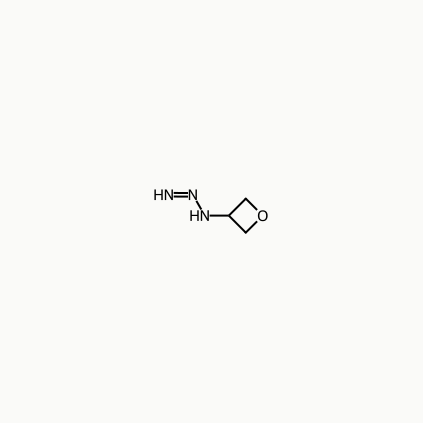 N=NNC1COC1